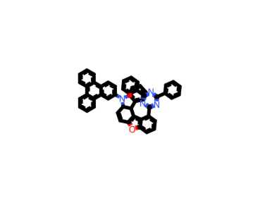 C1=CC2C(c3ccccc3N2c2ccc3c4ccccc4c4ccccc4c3c2)c2c1oc1cccc(-c3nc(-c4ccccc4)nc(-c4ccccc4)n3)c21